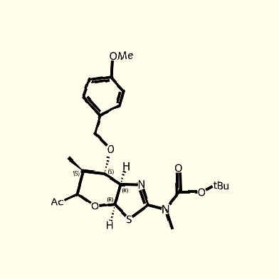 COc1ccc(CO[C@@H]2[C@H]3N=C(N(C)C(=O)OC(C)(C)C)S[C@H]3OC(C(C)=O)[C@H]2C)cc1